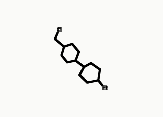 CCC1CCC(C2CCC(CCl)CC2)CC1